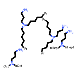 CC(C)CCCCCN(CCCN)CCCCCC(C)C.CC(C)CCCCN(CCCN)CCCCC(C)C.CCCCCCCCN(CCCN)CCCCCCCC.CCCCCCCN(CCCN)CCCCCCC